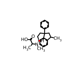 CC1CC(CCNN(C)C(C)C(=O)O)(c2ccccc2)c2ccccc21